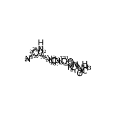 CC(=O)Nc1ccnc(Oc2ccc(N3CCN(CCCc4c[nH]c5ccc(C#N)cc45)CC3)cc2)n1